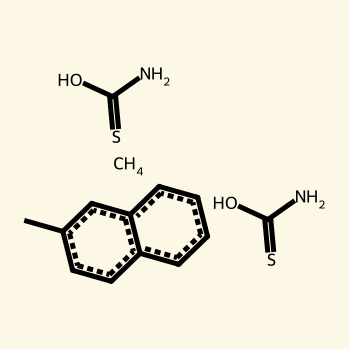 C.Cc1ccc2ccccc2c1.NC(O)=S.NC(O)=S